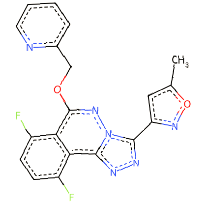 Cc1cc(-c2nnc3c4c(F)ccc(F)c4c(OCc4ccccn4)nn23)no1